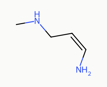 CNC/C=C\N